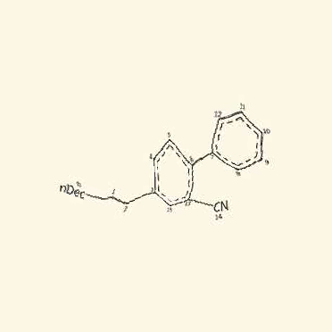 CCCCCCCCCCCCc1ccc(-c2ccccc2)c(C#N)c1